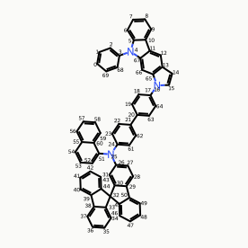 c1ccc(-n2c3ccccc3c3cc4ccn(-c5ccc(-c6ccc(N(c7ccc8c(c7)C7(c9ccccc9-c9ccccc97)c7ccccc7-8)c7cccc8ccccc78)cc6)cc5)c4cc32)cc1